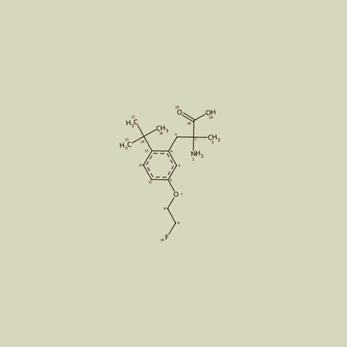 CC(N)(Cc1cc(OCCF)ccc1C(C)(C)C)C(=O)O